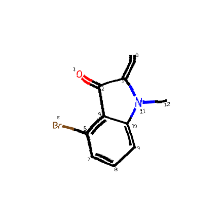 C=C1C(=O)c2c(Br)cccc2N1C